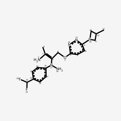 C/C(N)=C(\COc1ccc(N2CC(C)C2)nn1)N(N)c1ccc(C(F)F)cc1